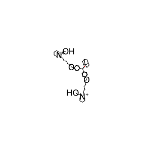 OCC[N+]1(CCCCCCOc2ccc(C(=C3C4CC5CC(C4)CC3C5)c3ccc(OCCCCCC[N+]4(CCO)CCCCC4)cc3)cc2)CCCCC1